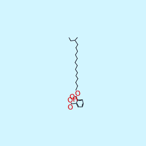 CCC(C)CCCCCCCCCCCCCCOC(=O)c1ccccc1C(=O)O